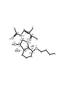 CCCCO[C@H]1CCC[C@@]2(O)[C@@H](O)[C@H](N(/C=C(/C)C(C)=O)C(C)=O)O[C@@H]12